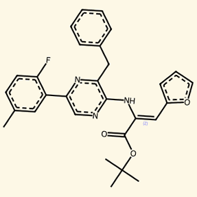 Cc1ccc(F)c(-c2cnc(N/C(=C\c3ccco3)C(=O)OC(C)(C)C)c(Cc3ccccc3)n2)c1